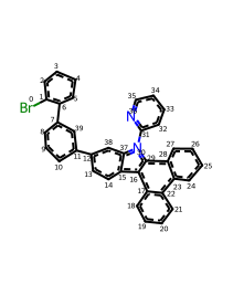 Brc1ccccc1-c1cccc(-c2ccc3c4c5ccccc5c5ccccc5c4n(-c4ccccn4)c3c2)c1